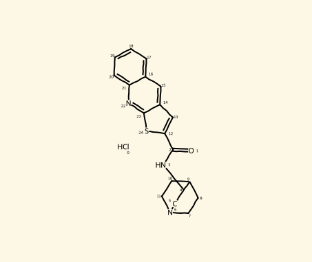 Cl.O=C(NC1CN2CCC1CC2)c1cc2cc3ccccc3nc2s1